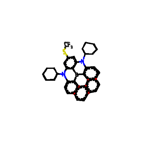 FC(F)(F)Sc1cc2c3c(c1)N(C1CCCCC1)c1cccc(-c4ccccc4)c1B3c1c(-c3ccccc3)cccc1N2C1CCCCC1